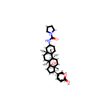 C[C@]12CC[C@H](NC(=O)N3CCCC3)C[C@H]1CC[C@@H]1[C@@H]2CC[C@]2(C)[C@@H](c3ccc(=O)oc3)CC[C@]12O